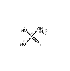 O.OP(O)(O)=S